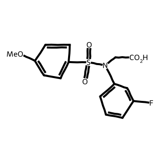 COc1ccc(S(=O)(=O)N(CC(=O)O)c2cccc(F)c2)cc1